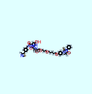 Cc1ncsc1-c1ccc(CNC(=O)[C@@H]2C[C@@H](O)CN2C(=O)C(NC(=O)COCCCOCCCCCOc2ccc(N3C(=S)N(c4ccccc4)C(=O)C3(C)C)cc2)C(C)(C)C)cc1